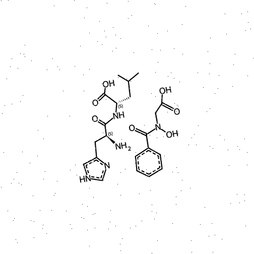 CC(C)C[C@H](NC(=O)[C@@H](N)Cc1c[nH]cn1)C(=O)O.O=C(O)CN(O)C(=O)c1ccccc1